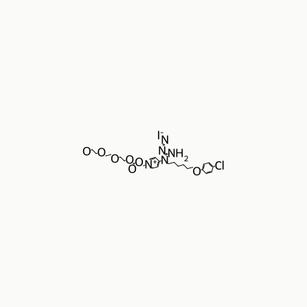 COCCOCCOCCOC(=O)OC[n+]1ccc(N(CCCCCCOc2ccc(Cl)cc2)C(N)=NC#N)cc1.[I-]